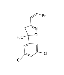 FC(F)(F)C1(c2cc(Cl)cc(Cl)c2)CC(/C=C\Br)=NO1